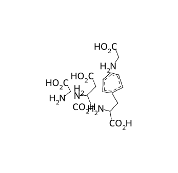 NC(CC(=O)O)C(=O)O.NC(Cc1ccccc1)C(=O)O.NCC(=O)O.NCC(=O)O